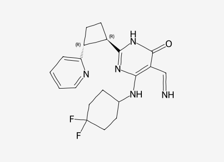 N=Cc1c(NC2CCC(F)(F)CC2)nc([C@@H]2CC[C@H]2c2ccccn2)[nH]c1=O